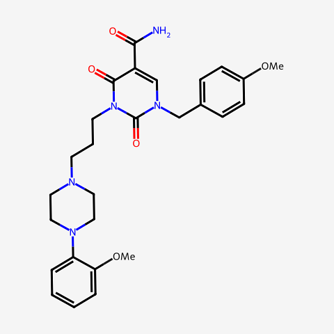 COc1ccc(Cn2cc(C(N)=O)c(=O)n(CCCN3CCN(c4ccccc4OC)CC3)c2=O)cc1